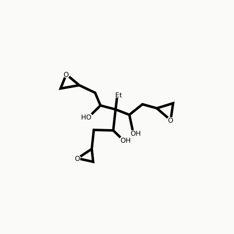 CCC(C(O)CC1CO1)(C(O)CC1CO1)C(O)CC1CO1